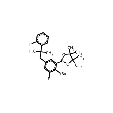 CC(C)(C)c1c(F)cc(CC(C)(C)c2ccccc2F)cc1B1OC(C)(C)C(C)(C)O1